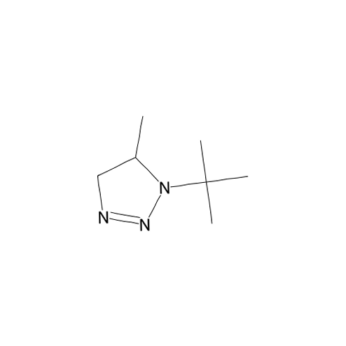 CC1CN=NN1C(C)(C)C